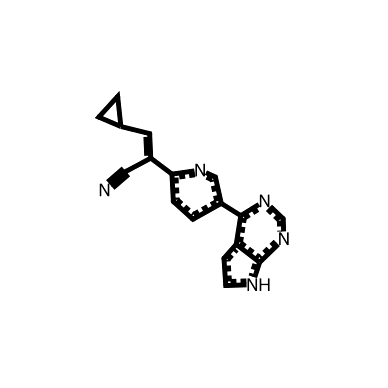 N#C/C(=C\C1CC1)c1ccc(-c2ncnc3[nH]ccc23)cn1